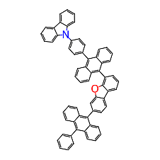 c1ccc(-c2c3ccccc3c(-c3ccc4c(c3)oc3c(-c5c6ccccc6c(-c6ccc(-n7c8ccccc8c8ccccc87)cc6)c6ccccc56)cccc34)c3ccccc23)cc1